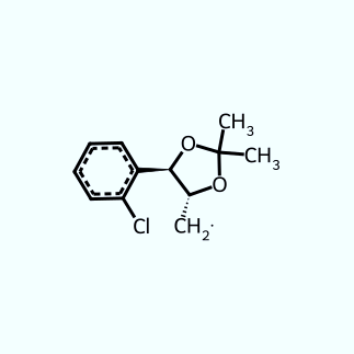 [CH2][C@H]1OC(C)(C)O[C@@H]1c1ccccc1Cl